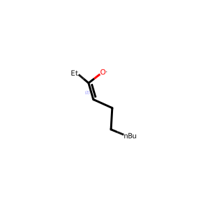 CCCCCC/C=C(\[O])CC